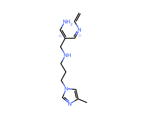 C=C/N=C\C(=C/N)CNCCCn1cnc(C)c1